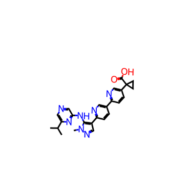 CC(C)c1cncc(Nc2c(-c3ccc(-c4ccc(C5(C(=O)O)CC5)cn4)cn3)cnn2C)n1